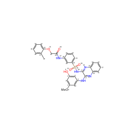 COc1cc(O)cc(Nc2nc3ccccc3nc2NS(=O)(=O)c2cccc(NC(=O)COc3ccccc3C)c2)c1